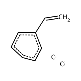 C=Cc1ccccc1.[C].[C]